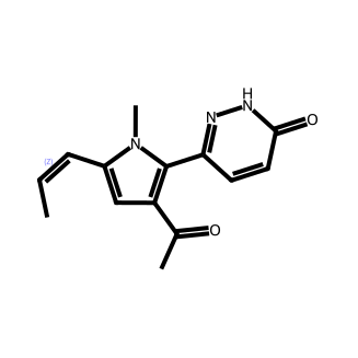 C/C=C\c1cc(C(C)=O)c(-c2ccc(=O)[nH]n2)n1C